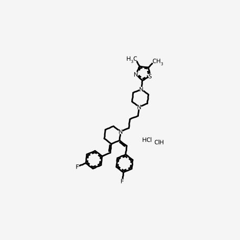 Cc1nc(N2CCN(CCCN3CCCC(=Cc4ccc(F)cc4)C3=Cc3ccc(F)cc3)CC2)sc1C.Cl.Cl